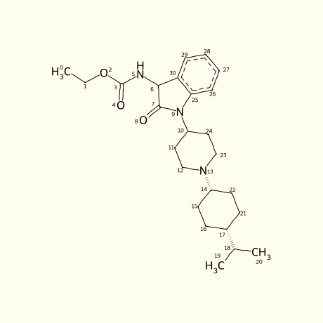 CCOC(=O)NC1C(=O)N(C2CCN([C@H]3CC[C@@H](C(C)C)CC3)CC2)c2ccccc21